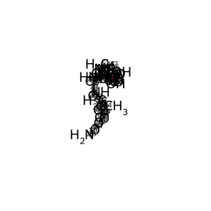 CSSC(C)c1ccc(OC(=O)COCCOCCN)cc1C(=O)OCCCCC(=O)NCC#Cc1cn([C@H]2CC(OC(=O)c3ccccc3C(C)N=[N+]=[N-])[C@@H](COP(=O)(O)OP(=O)(O)OP(=O)(O)O)O2)c(=O)[nH]c1=O